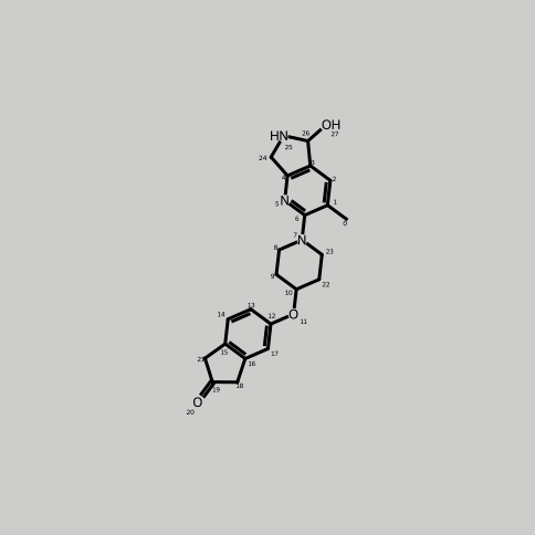 Cc1cc2c(nc1N1CCC(Oc3ccc4c(c3)CC(=O)C4)CC1)CNC2O